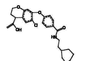 C=C(O)C1CCOc2cc(Oc3ccc(C(=O)NCCC4CCCCC4)cc3)c(Cl)cc21